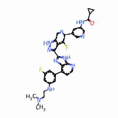 CN(C)CCNc1cc(F)cc(-c2ccnc3[nH]c(-c4n[nH]c5cnc(-c6cncc(NC(=O)C7CC7)c6)c(F)c45)nc23)c1